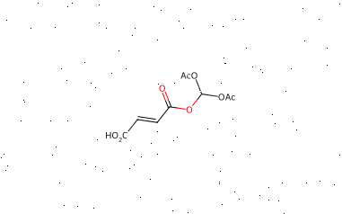 CC(=O)OC(OC(C)=O)OC(=O)C=CC(=O)O